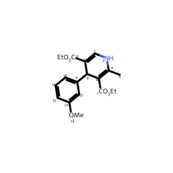 CCOC(=O)C1=CNC(C)=C(C(=O)OCC)C1c1cccc(OC)c1